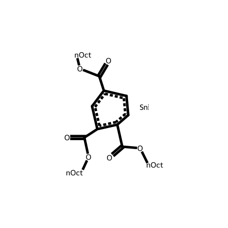 CCCCCCCCOC(=O)c1ccc(C(=O)OCCCCCCCC)c(C(=O)OCCCCCCCC)c1.[Sn]